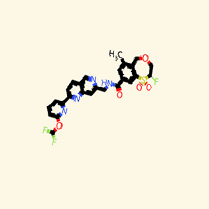 Cc1cc(C(=O)NCc2cc3nc(-c4cccc(OC(F)F)n4)ccc3cn2)cc2c1COC[C@H](F)S2(=O)=O